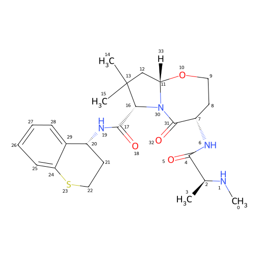 CN[C@@H](C)C(=O)N[C@H]1CCO[C@H]2CC(C)(C)[C@@H](C(=O)N[C@@H]3CCSc4ccccc43)N2C1=O